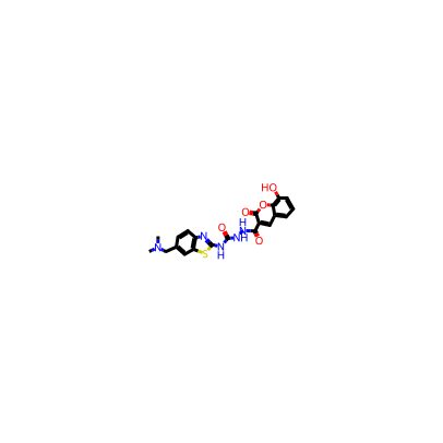 CN(C)Cc1ccc2nc(NC(=O)NNC(=O)c3cc4cccc(O)c4oc3=O)sc2c1